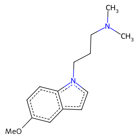 COc1ccc2c(ccn2CCCN(C)C)c1